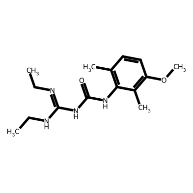 CCN=C(NCC)NC(=O)Nc1c(C)ccc(OC)c1C